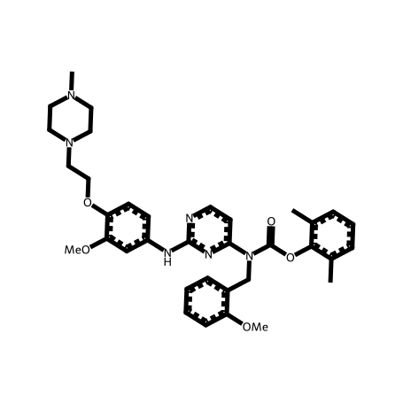 COc1ccccc1CN(C(=O)Oc1c(C)cccc1C)c1ccnc(Nc2ccc(OCCN3CCN(C)CC3)c(OC)c2)n1